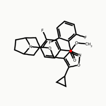 COC(=O)c1ccc(N2C3CCC2CC(OCc2c(-c4c(F)cccc4F)noc2C2CC2)C3)c(F)c1